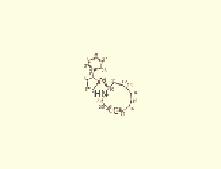 c1ccc([C@@H]2CCC[C@@H]2/N=C2/CCCCCCCCCCCN2)cc1